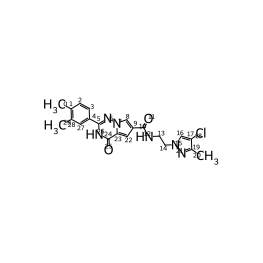 Cc1ccc(-c2nn3cc(C(=O)NCCn4cc(Cl)c(C)n4)cc3c(=O)[nH]2)cc1C